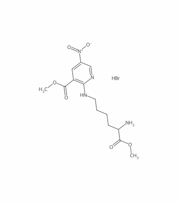 Br.COC(=O)c1cc([N+](=O)[O-])cnc1NCCCCC(N)C(=O)OC